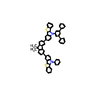 CC1(C)c2ccc(-c3ccc4c(c3)C3Sc5ccccc5C3N4c3ccccc3)cc2-c2cc(-c3ccc4c(c3)C3Sc5ccccc5C3N4c3cc(-c4ccccc4)cc(-c4ccccc4)c3)ccc21